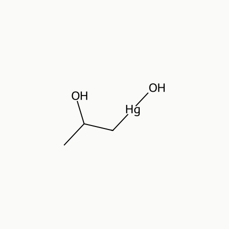 CC(O)[CH2][Hg][OH]